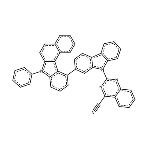 N#Cc1nc(-n2c3ccccc3c3ccc(-c4cccc5c4c4c6ccccc6ccc4n5-c4ccccc4)cc32)nc2ccccc12